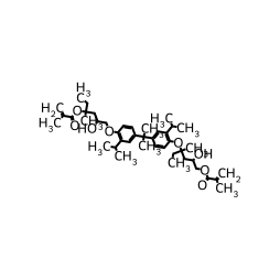 C=C(C)C(=O)OCC(O)CC(C)(CC)Oc1ccc(C(C)(C)c2ccc(OCC(O)CC(C)(CC)OC(=O)C(=C)C)c(C(C)C)c2)cc1C(C)C